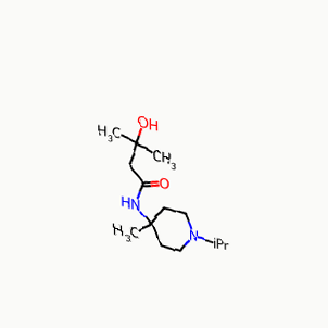 CC(C)N1CCC(C)(NC(=O)CC(C)(C)O)CC1